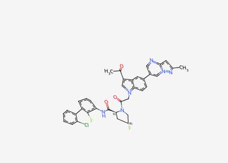 CC(=O)c1cn(CC(=O)N2C[C@H](F)C[C@H]2C(=O)Nc2cccc(-c3ccccc3Cl)c2F)c2ccc(-c3cnc4cc(C)nn4c3)cc12